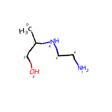 CC(CO)NCCN